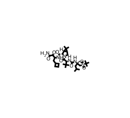 CC(C)C[C@@](C)(CS(=O)(=O)C(C)(C)C)NC(=O)N[C@H](C(=O)N1CC2[C@@H]([C@H]1C(=O)NC(CC1CCC1)C(=O)C(N)=O)C2(C)C)C(C)(C)C